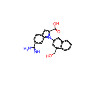 N=C(N)c1ccc2cc(C(=O)O)n(-c3cc(CO)c4ccccc4c3)c2c1